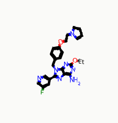 CCOc1nc(N)c2nc(-c3cncc(F)c3)n(Cc3ccc(OCCN4CCCC4)cc3)c2n1